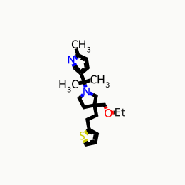 CCOCC1(CCc2cccs2)CCN(C(C)(C)c2ccc(C)nc2)C1